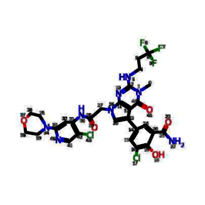 Cn1c(NCCC(F)(F)F)nc2c(c(-c3cc(Cl)c(O)c(C(N)=O)c3)cn2CC(=O)Nc2cc(N3CCOCC3)ncc2Cl)c1=O